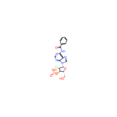 O=C(Nc1ncnc2c1ncn2[C@@H]1O[C@H](CO)C(O[PH](=O)O)[C@H]1F)c1ccccc1